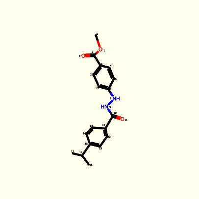 COC(=O)c1ccc(NNC(=O)c2ccc(C(C)C)cc2)cc1